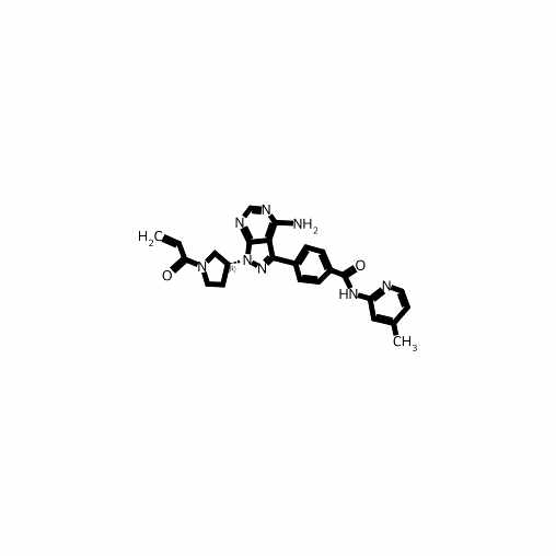 C=CC(=O)N1CC[C@@H](n2nc(-c3ccc(C(=O)Nc4cc(C)ccn4)cc3)c3c(N)ncnc32)C1